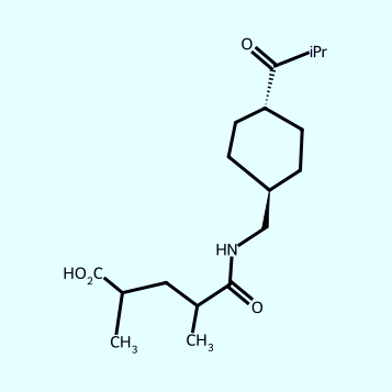 CC(CC(C)C(=O)NC[C@H]1CC[C@H](C(=O)C(C)C)CC1)C(=O)O